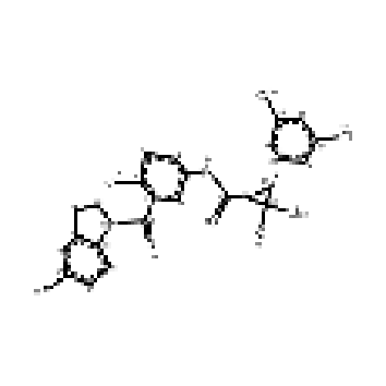 O=C(Nc1ccc(Cl)c(C(=O)N2CCc3cc(F)ccc32)c1)[C@H]1[C@H](c2cc(Cl)cc(Cl)c2)C1(Cl)Cl